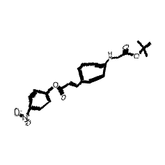 CC(C)(C)OC(=O)CNc1ccc(/C=C/C(=O)Oc2ccc([N+](=O)[O-])cc2)cc1